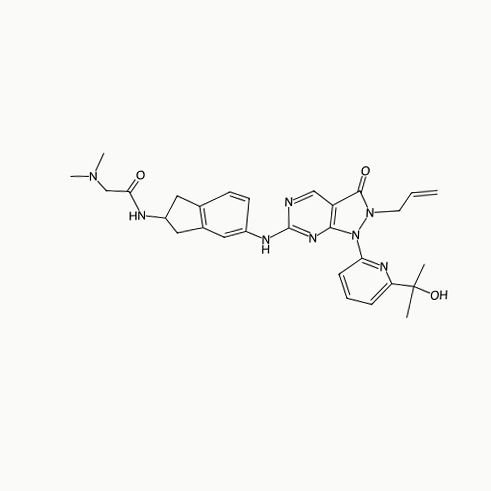 C=CCn1c(=O)c2cnc(Nc3ccc4c(c3)CC(NC(=O)CN(C)C)C4)nc2n1-c1cccc(C(C)(C)O)n1